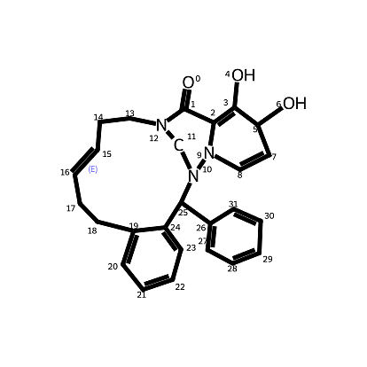 O=C1C2=C(O)C(O)C=CN2N2CN1CC/C=C/CCc1ccccc1C2c1ccccc1